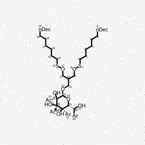 CCCCCCCCCCCCCCCCSOCC(COSCCCCCCCCCCCCCCCC)CO[C@H]1O[C@H](C(O)C(C)=O)[C@](O)(C(C)=O)[C@@](O)(C(C)=O)[C@]1(O)C(C)=O